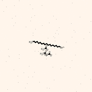 CC(=O)[O-].CC(=O)[O-].CC(=O)[O-].CCCCCCCCCCCCCCCCC[CH2][Sn+3]